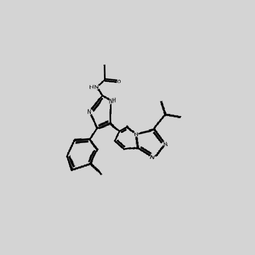 CC(=O)Nc1nc(-c2cccc(C)c2)c(-c2ccc3nnc(C(C)C)n3c2)[nH]1